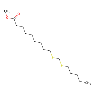 CCCCCSCSCCCCCCCCC(=O)OC